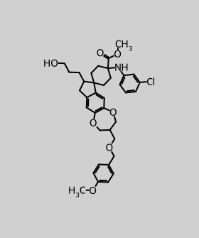 COC(=O)C1(Nc2cccc(Cl)c2)CCC2(CC1)c1cc3c(cc1CC2CCCO)OCC(COCc1ccc(OC)cc1)CO3